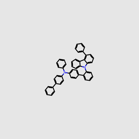 c1ccc(-c2ccc(N(c3ccccc3)c3ccc(-c4ccccc4-n4c5ccccc5c5c(-c6ccccc6)cccc54)cc3)cc2)cc1